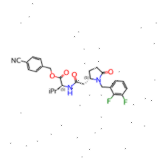 CC(C)[C@H](NC(=O)C[C@@H]1CCC(=O)N1Cc1cccc(F)c1F)C(=O)OCc1ccc(C#N)cc1